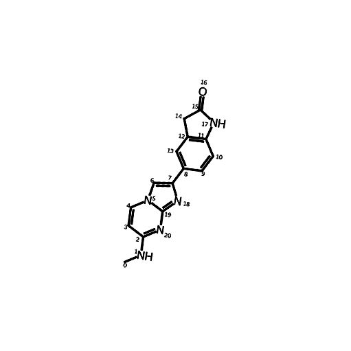 CNc1ccn2cc(-c3ccc4c(c3)CC(=O)N4)nc2n1